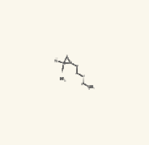 Cl.NCCCCC1CC1(F)Br